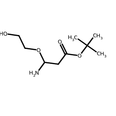 CC(C)(C)OC(=O)CC(N)OCCO